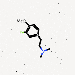 COc1ccc(CCN(C)C)cc1F